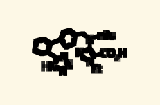 CCCCN(Cc1ccc(-c2ccccc2-c2nnn[nH]2)cc1)c1ncn(CC)c1C(=O)O